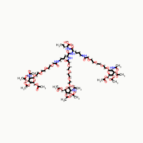 CCC[C@H](NC(=O)[C@H](CCCCNC(=O)COCCOCCOCCO[C@@H]1O[C@H](COC(C)=O)[C@H](OC(C)=O)[C@H](OC(C)=O)[C@H]1NC(C)=O)NC(=O)[C@H](CCCCNC(=O)COCCOCCOCCO[C@@H]1O[C@H](COC(C)=O)[C@H](OC(C)=O)[C@H](OC(C)=O)[C@H]1NC(C)=O)NC(=O)COCCOCCOCCO[C@@H]1O[C@H](COC(C)=O)[C@H](OC(C)=O)[C@H](OC(C)=O)[C@H]1NC(C)=O)C(=O)O